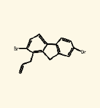 C=CCc1c(Br)ccc2c1Cc1cc(Br)ccc1-2